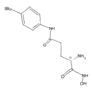 CC(C)(C)c1ccc(NC(=O)CC[C@H](N)C(=O)NO)cc1